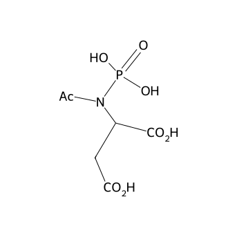 CC(=O)N(C(CC(=O)O)C(=O)O)P(=O)(O)O